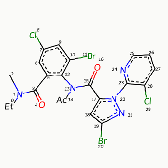 CCN(C)C(=O)c1cc(Cl)cc(Br)c1N(C(C)=O)C(=O)c1cc(Br)nn1-c1ncccc1Cl